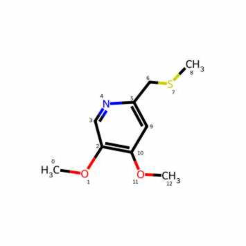 COc1cnc(CSC)cc1OC